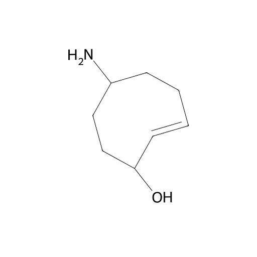 NC1CC/C=C/C(O)CC1